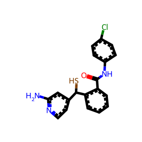 Nc1cc(C(S)c2ccccc2C(=O)Nc2ccc(Cl)cc2)ccn1